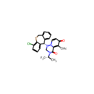 CC(=O)Oc1c2n(ccc1=O)N([C@H]1c3ccccc3CSc3c(Cl)cccc31)CN([C@H](C)C(F)(F)F)C2=O